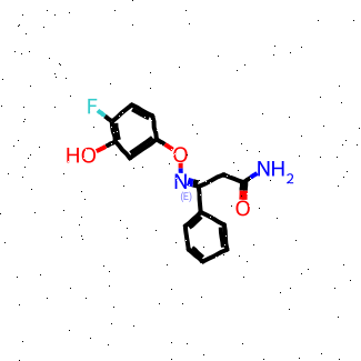 NC(=O)C/C(=N\Oc1ccc(F)c(O)c1)c1ccccc1